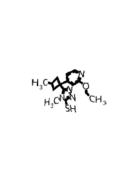 CCOc1cc(C2(c3nnc(S)n3C)CC(C)C2)ccn1